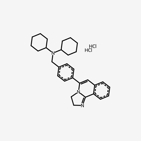 C1=C(c2ccc(CN(C3CCCCC3)C3CCCCC3)cc2)N2CCN=C2c2ccccc21.Cl.Cl